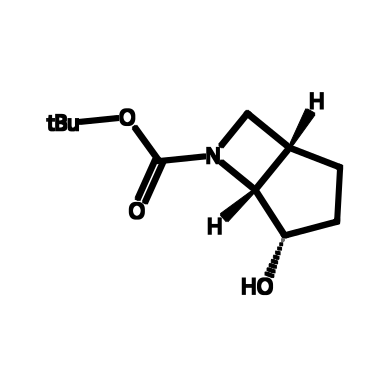 CC(C)(C)OC(=O)N1C[C@@H]2CC[C@H](O)[C@@H]21